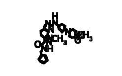 Cn1nc(C(=O)NCc2ccccc2)c2c1-c1nc(Nc3ccc(N4CC[N+](C)([O-])CC4)cc3)ncc1CC2